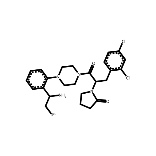 CC(C)CC(N)c1ccccc1N1CCN(C(=O)C(Cc2ccc(Cl)cc2Cl)N2CCCC2=O)CC1